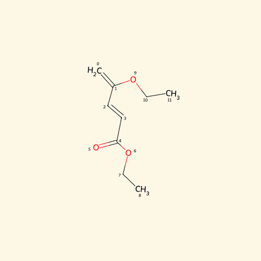 C=C(C=CC(=O)OCC)OCC